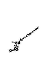 CC(C)(C)c1cc(NC(=O)Nc2ccc(OCCN3CCOCC3)c3ccccc23)n(-c2cccc(CNC(=O)OC/C=C/COCCOC(=O)NCCOCCOCCCCCCCl)c2)n1